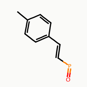 Cc1ccc(C=CP=O)cc1